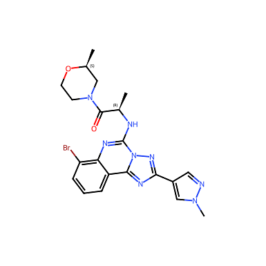 C[C@H]1CN(C(=O)[C@@H](C)Nc2nc3c(Br)cccc3c3nc(-c4cnn(C)c4)nn23)CCO1